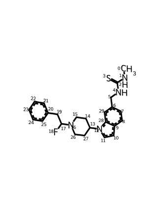 CNC(=S)NCc1ccc2ccn(C3CCN(C(F)Cc4ccccc4)CC3)c2c1